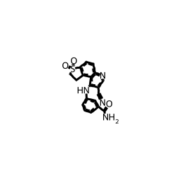 N#Cc1cnc2ccc3c(c2c1Nc1cccc(C(N)=O)c1)CCS3(=O)=O